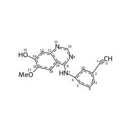 C#Cc1cccc(Nc2ncnc3cc(O)c(OC)cc23)c1